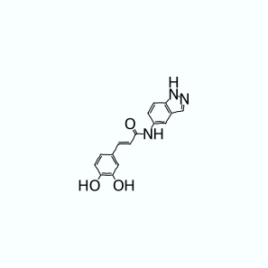 O=C(C=Cc1ccc(O)c(O)c1)Nc1ccc2[nH]ncc2c1